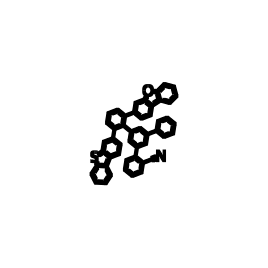 N#Cc1ccccc1-c1cc(-c2ccccc2)cc(-c2c(-c3ccc4c(c3)oc3ccccc34)cccc2-c2ccc3c(c2)sc2ccccc23)c1